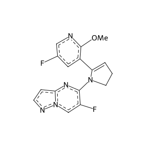 COc1ncc(F)cc1C1=CCCN1c1nc2ccnn2cc1F